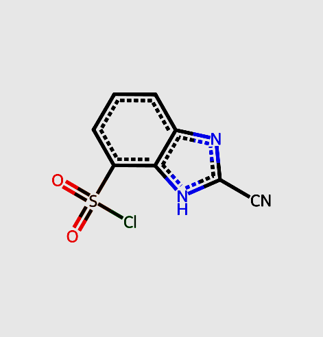 N#Cc1nc2cccc(S(=O)(=O)Cl)c2[nH]1